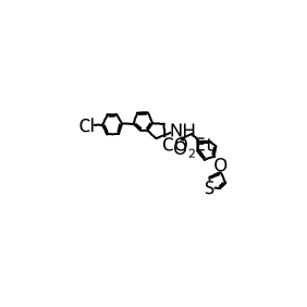 CCOC(=O)C1(NC(=O)Cc2ccc(Oc3ccsc3)cc2)Cc2ccc(-c3ccc(Cl)cc3)cc2C1